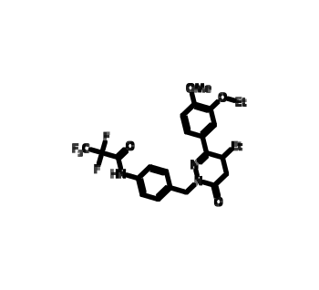 CCOc1cc(C2=NN(Cc3ccc(NC(=O)C(F)(F)C(F)(F)F)cc3)C(=O)CC2CC)ccc1OC